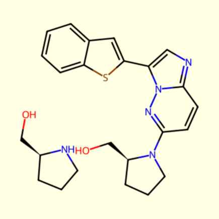 OC[C@@H]1CCCN1.OC[C@@H]1CCCN1c1ccc2ncc(-c3cc4ccccc4s3)n2n1